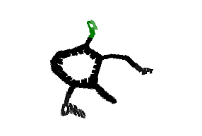 COc1ccc(Cl)c(CC(C)C)c1C